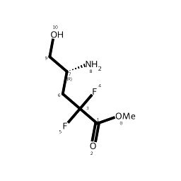 COC(=O)C(F)(F)C[C@@H](N)CO